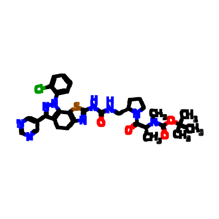 C[C@@H](C(=O)N1CCC[C@@H]1CNC(=O)Nc1nc2c(s1)-c1c(c(-c3cncnc3)nn1-c1ccccc1Cl)CC2)N(C)C(=O)OC(C)(C)C